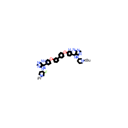 CC(C)N1CC[C@H](n2nc(-c3ccc(Oc4cccc(-c5ccc(Oc6ccc(-c7nn([C@@H]8CCCN(C(C)(C)C)C8)c8ncnc(N)c78)cc6)cc5)c4)cc3)c3c(N)ncnc32)[C@@H](F)C1